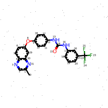 Cc1cnc2ccc(Oc3ccc(NC(=O)Nc4cccc(C(F)(F)F)c4)cc3)cc2n1